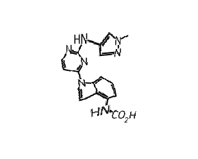 Cn1cc(Nc2nccc(-n3ccc4c(NC(=O)O)cccc43)n2)cn1